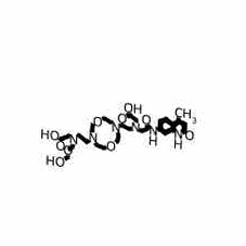 Cc1cc(=O)[nH]c2cc(NC(=O)CN(CCN3CCOCCN(CCN(COCO)CC(=O)O)CCOCC3)CC(=O)O)ccc12